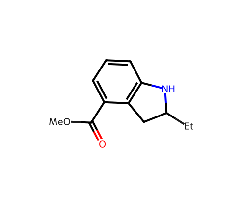 CCC1Cc2c(cccc2C(=O)OC)N1